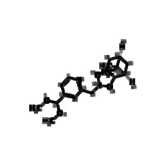 COC(OC)c1ccnc(CB2OC3C[C@H]4C[C@@H](C3O2)C4(C)C)c1